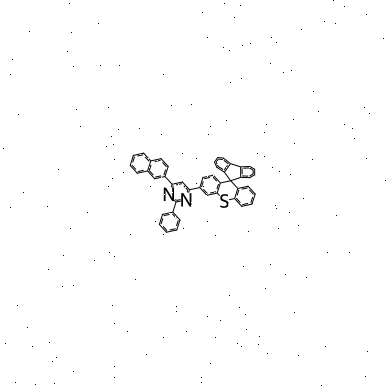 c1ccc(-c2nc(-c3ccc4c(c3)Sc3ccccc3C43c4ccccc4-c4ccccc43)cc(-c3ccc4ccccc4c3)n2)cc1